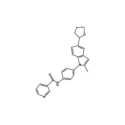 Cc1cc2cc(C3CCCO3)ccc2n1-c1ccc(NC(=O)c2cccnc2)cc1